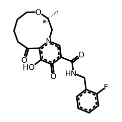 C[C@@H]1Cn2cc(C(=O)NCc3ccccc3F)c(=O)c(O)c2C(=O)CCCCO1